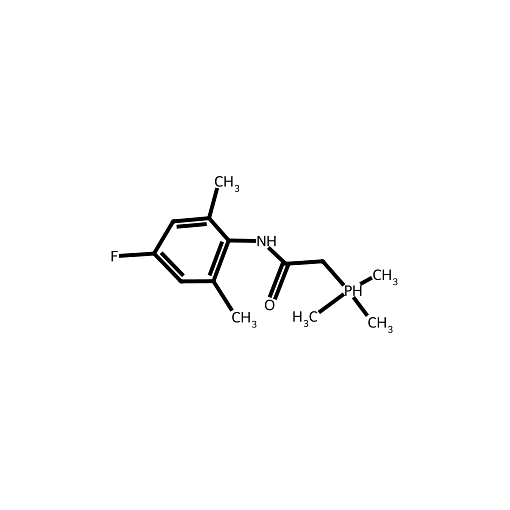 Cc1cc(F)cc(C)c1NC(=O)C[PH](C)(C)C